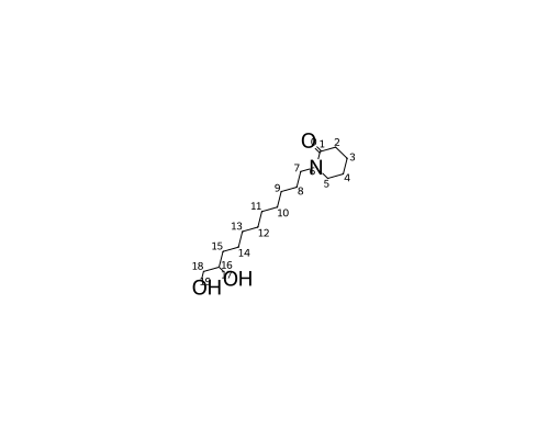 O=C1CCCCN1CCCCCCCCCC(O)CO